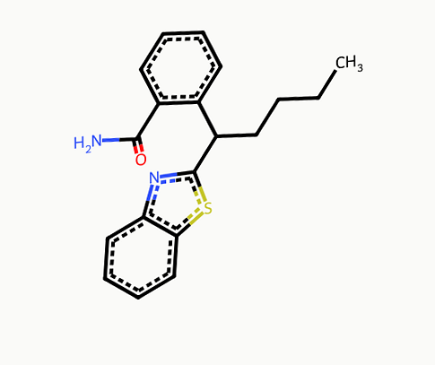 CCCCC(c1nc2ccccc2s1)c1ccccc1C(N)=O